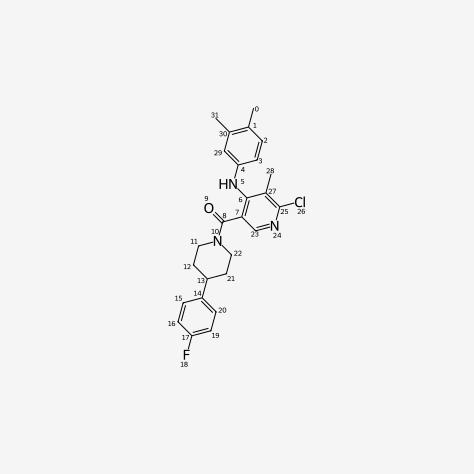 Cc1ccc(Nc2c(C(=O)N3CCC(c4ccc(F)cc4)CC3)cnc(Cl)c2C)cc1C